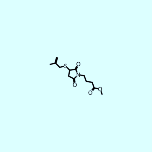 C=C(C)CSC1CC(=O)N(CCCC(=O)OC)C1=O